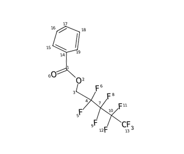 O=C(OCC(F)(F)C(F)(F)C(F)(F)C(F)(F)F)c1ccccc1